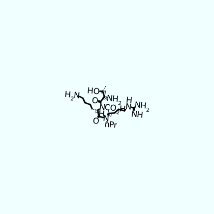 CCCN(C(=O)[C@H](CCCCN)NC(=O)[C@@H](N)[C@@H](C)O)[C@@H](CCCNC(=N)N)C(=O)O